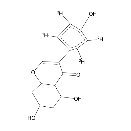 [2H]c1c([2H])c(C2=COC3CC(O)CC(O)C3C2=O)c([2H])c([2H])c1O